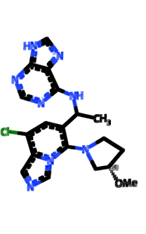 CO[C@H]1CCN(c2c(C(C)Nc3ncnc4[nH]cnc34)cc(Cl)c3cncn23)C1